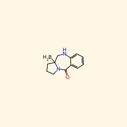 BC12CCCN1C(=O)c1ccccc1NC2